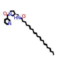 CCC=CCC=CCC=CCC=CCC=CCCCC(=O)NC[C@@H]1CCN(C(=O)c2cccnc2)C1